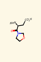 CN[C@@H](CC(=O)O)C(=O)N1CCOC1